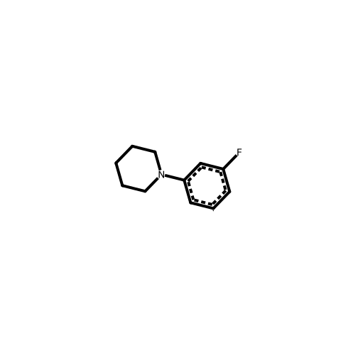 Fc1c[c]cc(N2CCCCC2)c1